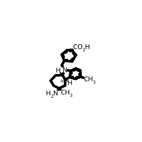 Cc1ccc2c(c1)[C@H]1CC(C)(N)CCC[C@@H]1N2Cc1ccc(C(=O)O)cc1